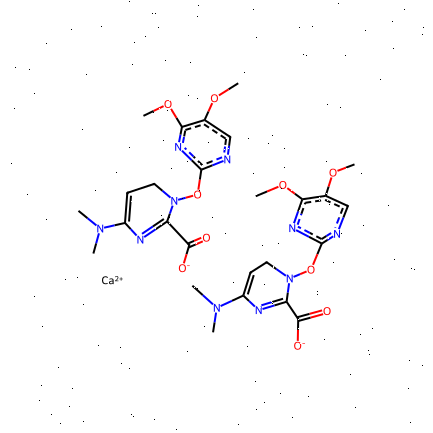 COc1cnc(ON2CC=C(N(C)C)N=C2C(=O)[O-])nc1OC.COc1cnc(ON2CC=C(N(C)C)N=C2C(=O)[O-])nc1OC.[Ca+2]